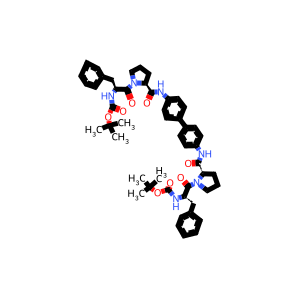 CC(C)(C)OC(=O)N[C@@H](Cc1ccccc1)C(=O)N1CCC[C@H]1C(=O)Nc1ccc(-c2ccc(NC(=O)[C@@H]3CCCN3C(=O)[C@H](Cc3ccccc3)NC(=O)OC(C)(C)C)cc2)cc1